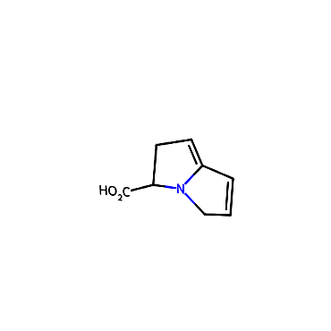 O=C(O)C1CC=C2C=CCN21